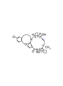 C[C@H]1C/C=C/[C@H](O)[C@@H]2CC[C@H]2CN2CCCCc3cc(Cl)ccc3COc3ccc(cc32)C(=O)NS(=O)(=O)[C@@H]1C1CCC1